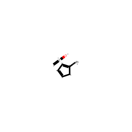 C=C=O.CC(C)C1=CC=CC1